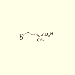 CC(=C[CH]CC1CO1)C(=O)O